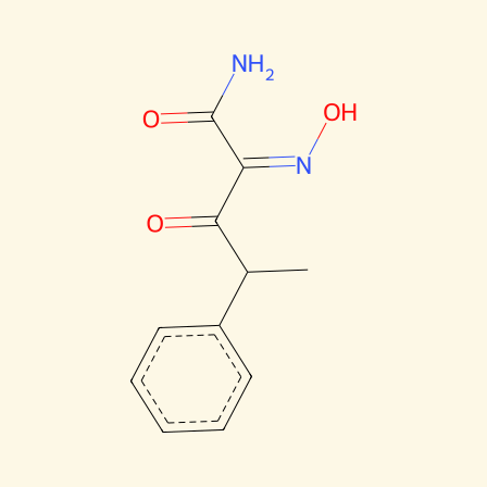 CC(C(=O)C(=NO)C(N)=O)c1ccccc1